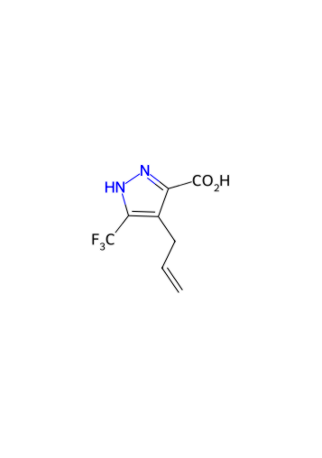 C=CCc1c(C(=O)O)n[nH]c1C(F)(F)F